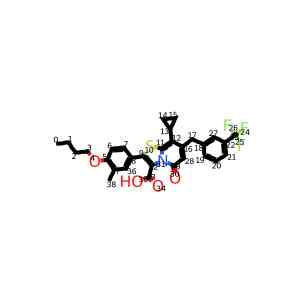 CCCCOc1ccc(-c2sc3c(C4CC4)c(Cc4cccc(C(F)(F)F)c4)cc(=O)n3c2C(=O)O)cc1C